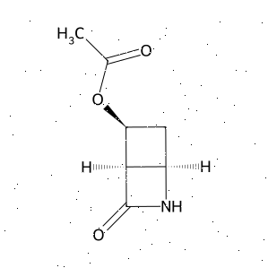 CC(=O)O[C@H]1C[C@H]2NC(=O)[C@@H]12